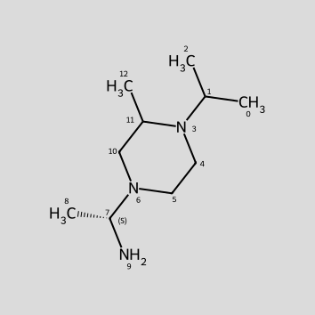 CC(C)N1CCN([C@@H](C)N)CC1C